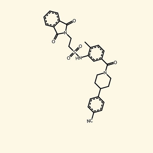 Cc1ccc(C(=O)N2CCC(c3ccc(C#N)cc3)CC2)cc1NS(=O)(=O)CCN1C(=O)c2ccccc2C1=O